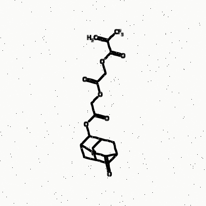 C=C(C(=O)OCC(=O)OCC(=O)OC1C2CC3CC(C2)C(=O)OC1C3)C(F)(F)F